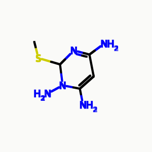 CSC1N=C(N)C=C(N)N1N